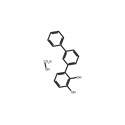 O=C(O)O.Oc1cccc(-c2cccc(-c3ccccc3)c2)c1O